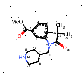 COC(=O)c1ccc2c(c1)N(CC1CCNCC1)C(=O)C2(C)C